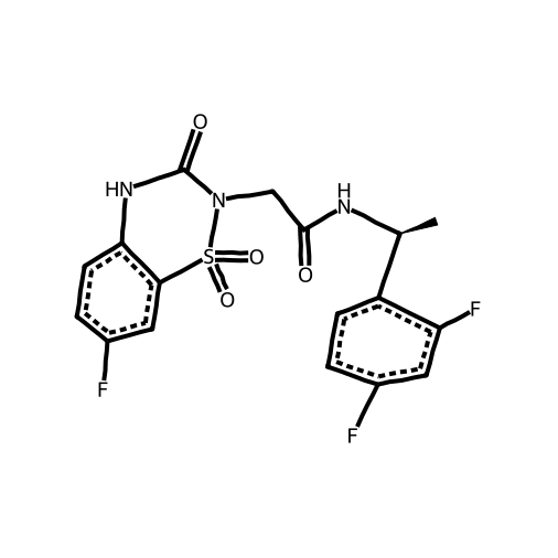 C[C@H](NC(=O)CN1C(=O)Nc2ccc(F)cc2S1(=O)=O)c1ccc(F)cc1F